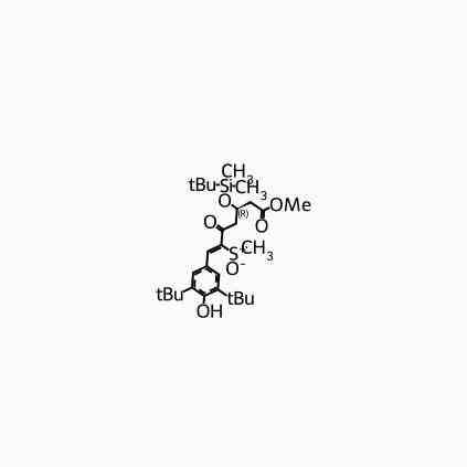 COC(=O)C[C@@H](CC(=O)C(=Cc1cc(C(C)(C)C)c(O)c(C(C)(C)C)c1)[S+](C)[O-])O[Si](C)(C)C(C)(C)C